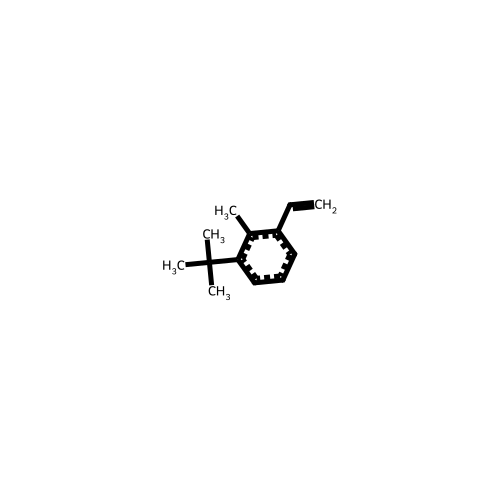 C=Cc1cccc(C(C)(C)C)c1C